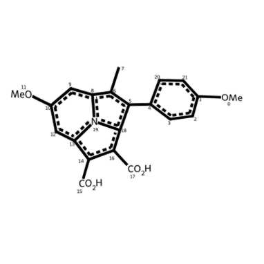 COc1ccc(-c2c(C)c3cc(OC)cc4c(C(=O)O)c(C(=O)O)c2n34)cc1